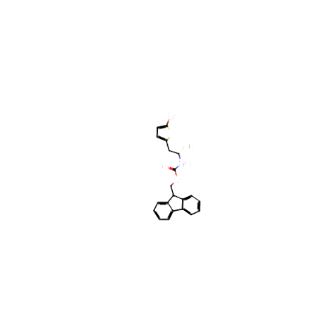 C[C@@H](Cc1ccc(Br)s1)NC(=O)OCC1c2ccccc2-c2ccccc21